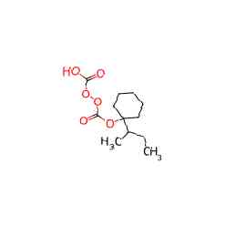 CCC(C)C1(OC(=O)OOC(=O)O)CCCCC1